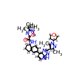 Cc1nn(C2CCOCC2)c(C)c1-c1nc2c(-c3ccc4c(c3)CCCC4NC(=O)c3nc(C(C)(C)C)no3)ccnc2[nH]1